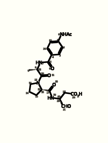 CC(=O)Nc1ccc(C(=O)N[C@@H](C)C(=O)N2CCC[C@H]2C(=O)N[C@H](C=O)CC(=O)O)cc1